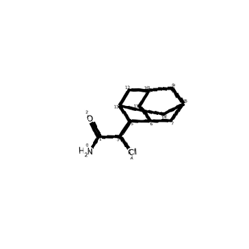 NC(=O)C(Cl)C1C2CC3CC(C2)CC1C3